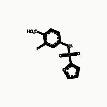 O=C(O)c1ccc(NS(=O)(=O)c2ccco2)cc1F